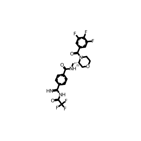 N=C(NC(=O)C(F)(F)F)c1ccc(C(=O)NC[C@H]2COCCN2C(=O)c2cc(F)c(F)c(F)c2)cc1